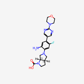 Nc1cc(-c2cnc(N3CCOCC3)nc2)c(F)cc1N1C[C@@H]2CCN(C(=O)O)[C@@H]2C1